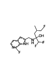 CC(CF)CC(O)(NCc1cc2ccnc(F)c2[nH]1)C(F)F